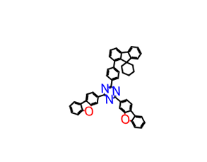 c1ccc2c(c1)-c1cccc(-c3ccc(-c4nc(-c5ccc6c(c5)oc5ccccc56)nc(-c5ccc6c(c5)oc5ccccc56)n4)cc3)c1C21CCCCC1